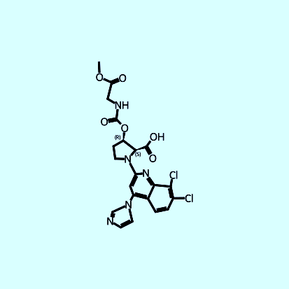 COC(=O)CNC(=O)O[C@@H]1CCN(c2cc(-n3ccnc3)c3ccc(Cl)c(Cl)c3n2)[C@@H]1C(=O)O